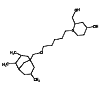 CC1CC2CC(COCCCCCN3CCC(O)CC3CO)(C1)CC(C)C2C